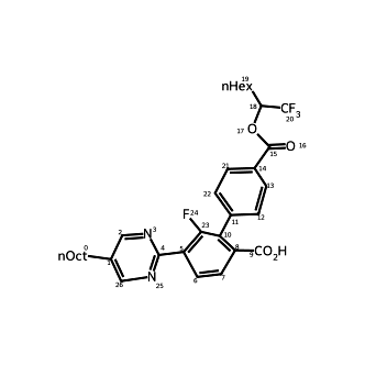 CCCCCCCCc1cnc(-c2ccc(C(=O)O)c(-c3ccc(C(=O)OC(CCCCCC)C(F)(F)F)cc3)c2F)nc1